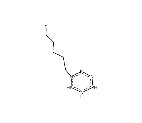 ClCCCCCn1pn[pH][nH][pH]1